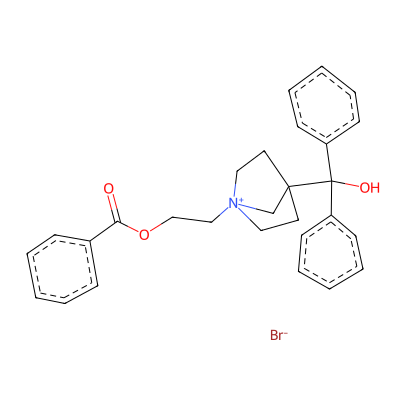 O=C(OCC[N+]12CCC(C(O)(c3ccccc3)c3ccccc3)(CC1)C2)c1ccccc1.[Br-]